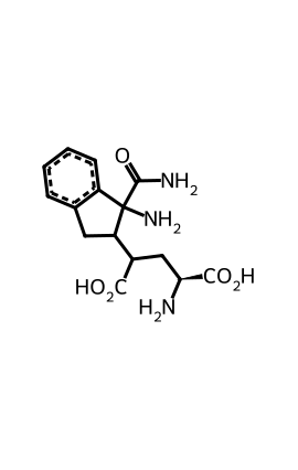 NC(=O)C1(N)c2ccccc2CC1C(C[C@H](N)C(=O)O)C(=O)O